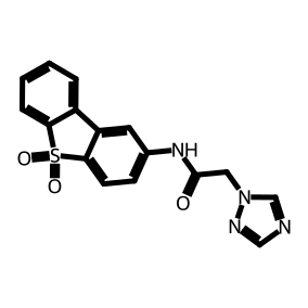 O=C(Cn1cncn1)Nc1ccc2c(c1)-c1ccccc1S2(=O)=O